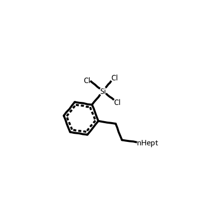 CCCCCCCCCc1ccccc1[Si](Cl)(Cl)Cl